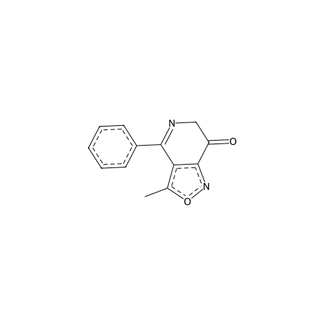 Cc1onc2c1C(c1ccccc1)=NCC2=O